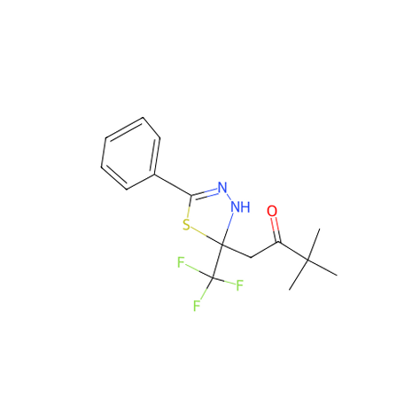 CC(C)(C)C(=O)CC1(C(F)(F)F)NN=C(c2ccccc2)S1